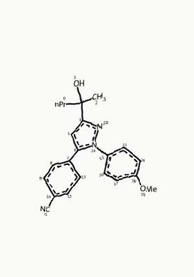 CCCC(C)(O)c1cc(-c2ccc(C#N)cc2)n(-c2ccc(OC)cc2)n1